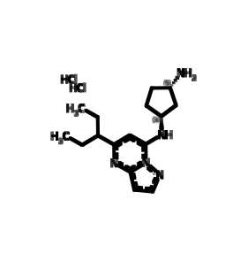 CCC(CC)c1cc(N[C@H]2CC[C@H](N)C2)n2nccc2n1.Cl.Cl